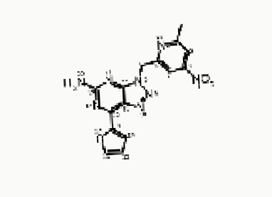 Cc1cc([N+](=O)[O-])cc(Cn2nnc3c(-c4ccco4)nc(N)nc32)n1